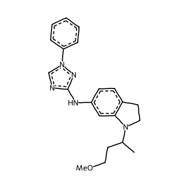 COCCC(C)N1CCc2ccc(Nc3ncn(-c4ccccc4)n3)cc21